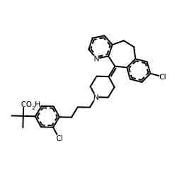 CC(C)(C(=O)O)c1ccc(CCCN2CCC(=C3c4ccc(Cl)cc4CCc4cccnc43)CC2)c(Cl)c1